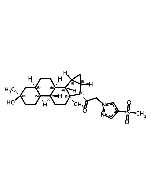 C[C@@]1(O)CC[C@H]2[C@H](CC[C@@H]3[C@@H]2CC[C@@]2(C)[C@H]3[C@@H]3C[C@@H]3[C@@H]2C(=O)Cn2cc(S(C)(=O)=O)cn2)C1